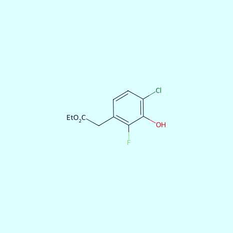 CCOC(=O)Cc1ccc(Cl)c(O)c1F